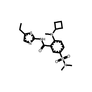 CCc1cnc(NC(=O)c2cc(S(=O)(=O)N(C)C)ccc2N(C)C2CCC2)s1